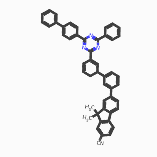 CC1(C)c2cc(C#N)ccc2-c2ccc(-c3cccc(C4C=C(c5nc(-c6ccccc6)nc(-c6ccc(-c7ccccc7)cc6)n5)C=CC4)c3)cc21